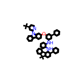 CC(C)(C)c1ccnc(-n2c3ccccc3c3ccc(Oc4cc(Nc5ccccc5Nc5c(-c6ccccc6)ccc6c5-c5ccccc5C6(C)C)cc(-c5ccccc5)c4)cc32)c1